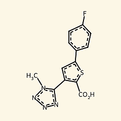 Cn1nnnc1-c1cc(-c2ccc(F)cc2)sc1C(=O)O